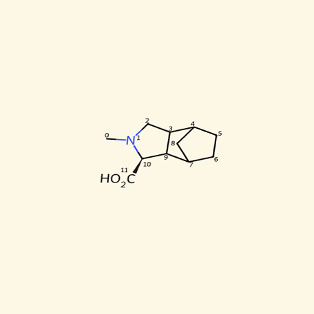 CN1CC2C3CCC(C3)C2[C@H]1C(=O)O